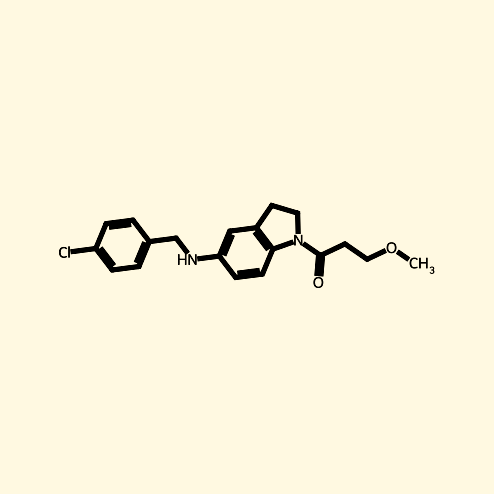 COCCC(=O)N1CCc2cc(NCc3ccc(Cl)cc3)ccc21